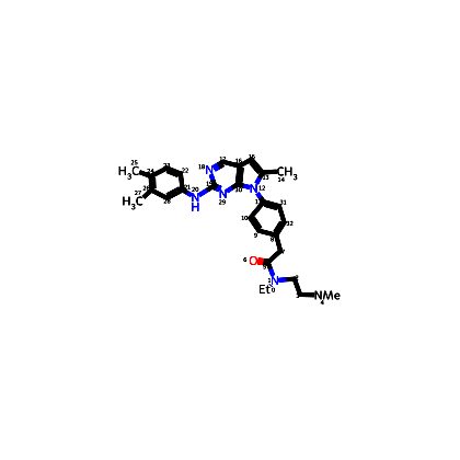 CCN(CCNC)C(=O)Cc1ccc(-n2c(C)cc3cnc(Nc4ccc(C)c(C)c4)nc32)cc1